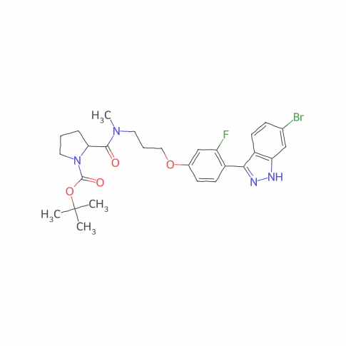 CN(CCCOc1ccc(-c2n[nH]c3cc(Br)ccc23)c(F)c1)C(=O)C1CCCN1C(=O)OC(C)(C)C